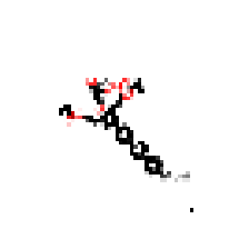 C=C(C)C(=O)OCCCc1cc(C2CCC(C3CCC(C4CCC(CCCCC)CC4)CC3)CC2)cc(CCCOC(=O)C(=C)C)c1OCCC(CO)(CO)CCCC